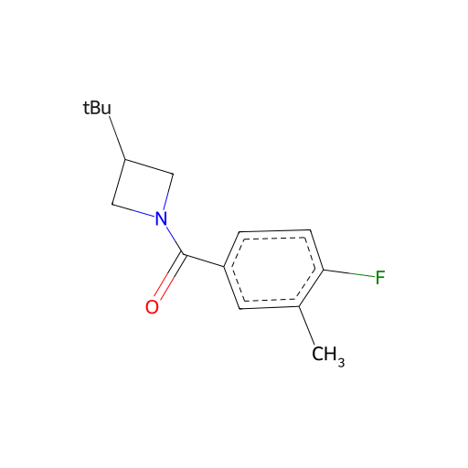 Cc1cc(C(=O)N2CC(C(C)(C)C)C2)ccc1F